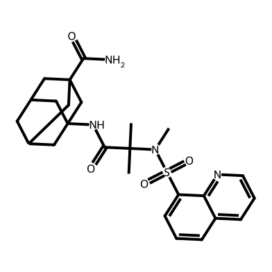 CN(C(C)(C)C(=O)NC12CC3CC(C1)CC(C(N)=O)(C3)C2)S(=O)(=O)c1cccc2cccnc12